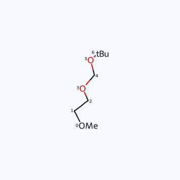 COCCOCOC(C)(C)C